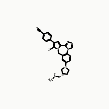 CNC[C@H]1CCN(c2ccc3c(c2)Cn2c(cc(-c4ccc(C#N)cc4)c2Cl)-c2nncn2-3)C1